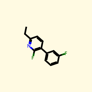 CCc1ccc(-c2cccc(F)c2)c(F)n1